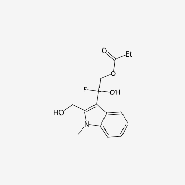 CCC(=O)OCC(O)(F)c1c(CO)n(C)c2ccccc12